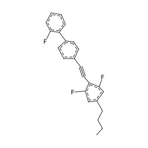 CCCCc1cc(F)c(C#Cc2ccc(-c3ccccc3F)cc2)c(F)c1